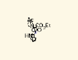 CCOC(=O)C1=C(N2CCCN(C(C)=O)CC2)O/C(=C\c2c[nH]c3ncccc23)C1=O